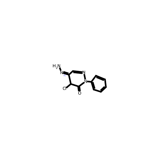 N/N=C1\C=NN(c2ccccc2)C(=O)C1Cl